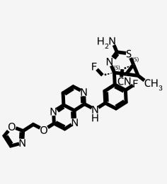 CC1C2[C@@]1(CC#N)SC(N)=N[C@]2(CF)c1cc(Nc2nccc3nc(OCc4ncco4)cnc23)ccc1F